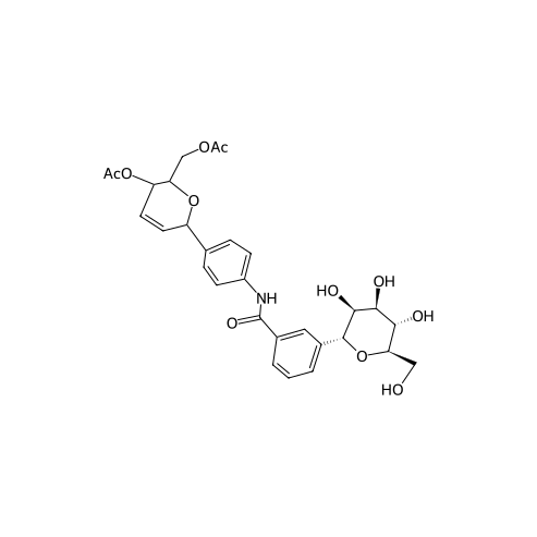 CC(=O)OCC1OC(c2ccc(NC(=O)c3cccc([C@H]4O[C@H](CO)[C@@H](O)[C@H](O)[C@@H]4O)c3)cc2)C=CC1OC(C)=O